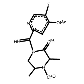 COc1cc(C(=N)N2CC(C)N(C=O)C(C)C2=N)ncc1F